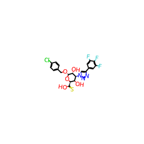 OC(=S)[C@H]1O[C@H](OCc2ccc(Cl)cc2)[C@H](O)[C@@H](n2cc(-c3cc(F)c(F)c(F)c3)nn2)[C@H]1O